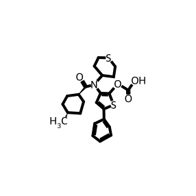 C[C@H]1CC[C@H](C(=O)N(c2cc(-c3ccccc3)sc2OC(=O)O)C2CCSCC2)CC1